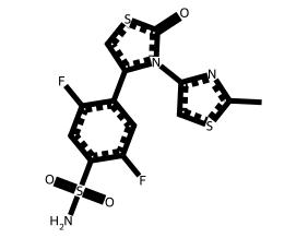 Cc1nc(-n2c(-c3cc(F)c(S(N)(=O)=O)cc3F)csc2=O)cs1